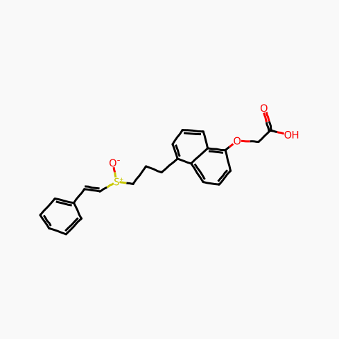 O=C(O)COc1cccc2c(CCC[S+]([O-])C=Cc3ccccc3)cccc12